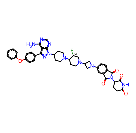 Nc1ncnc2c1c(-c1ccc(Oc3ccccc3)cc1)nn2C1CCN(C2CCN(C3CN(c4ccc5c(c4)C(=O)N(C4CCC(=O)NC4=O)C5=O)C3)C[C@@H]2F)CC1